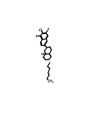 CCCCCCC[C@@H]1CC[C@@H]2CC(c3ccc4c(F)c(Cl)c(F)cc4c3)CCC2C1